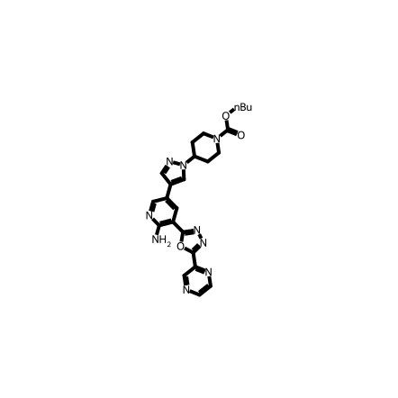 CCCCOC(=O)N1CCC(n2cc(-c3cnc(N)c(-c4nnc(-c5cnccn5)o4)c3)cn2)CC1